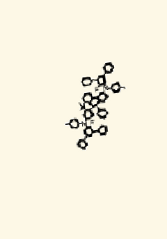 Cc1ccc(N(c2ccc3c(c2)C(C)(C)c2cccc4c2c-3c(-c2ccccc2)c2ccc(N(c3ccc(C)cc3)c3cc(-c5ccccc5)cc(-c5ccccc5)c3F)cc24)c2cc(-c3ccccc3)cc(-c3ccccc3)c2F)cc1